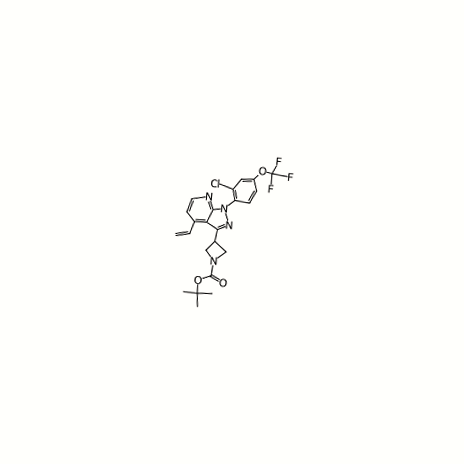 C=Cc1ccnc2c1c(C1CN(C(=O)OC(C)(C)C)C1)nn2-c1ccc(OC(F)(F)F)cc1Cl